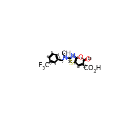 CN(Cc1cccc(C(F)(F)F)c1)c1nc2oc(=O)c(C(=O)O)cc2s1